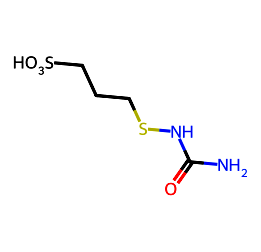 NC(=O)NSCCCS(=O)(=O)O